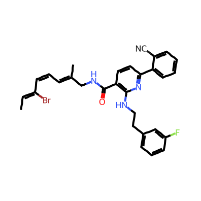 CC=C(Br)/C=C\C=C(/C)CNC(=O)c1ccc(-c2ccccc2C#N)nc1NCCc1cccc(F)c1